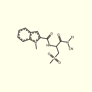 CCN(C#N)C(=O)C(CS(C)(=O)=O)NC(=O)c1cc2ccccc2n1C